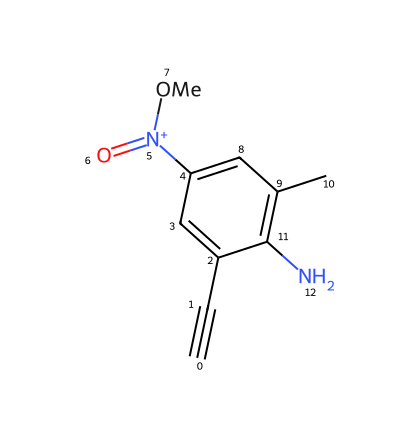 C#Cc1cc([N+](=O)OC)cc(C)c1N